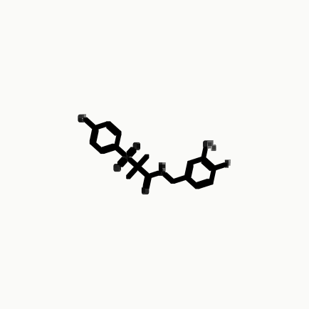 CC(C)(C(=O)NCc1ccc(F)c(C(F)(F)F)c1)S(=O)(=O)c1ccc(Cl)cc1